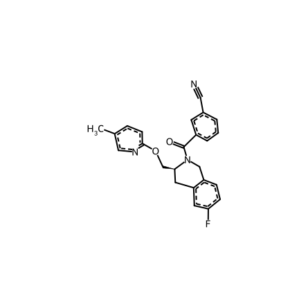 Cc1ccc(OC[C@@H]2Cc3cc(F)ccc3CN2C(=O)c2cccc(C#N)c2)nc1